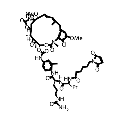 COc1cc2cc(c1Cl)N(C)C(=O)C[C@H](OC(=O)Nc1ccc(NC(=O)[C@H](CCCNC(N)=O)NC(=O)[C@@H](NC(=O)CCCCCN3C(=O)C=CC3=O)C(C)C)c(C)c1)[C@]1(C)O[C@H]1[C@H](C)[C@@H]1C[C@@](O)(NC(=O)O1)[C@H](OC)/C=C/C=C(\C)C2